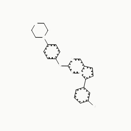 Nc1cccc(-c2ccc3cnc(Nc4ccc(N5CCOCC5)cc4)nn23)c1